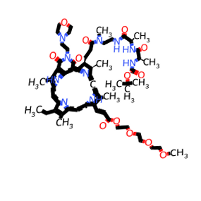 CCC1=C(C)c2cc3[nH]c(cc4nc(c5c6[nH]c(cc1n2)c(C)c6C(=O)N(CCN1CCOCC1)C5=O)[C@@H](CCC(=O)N(C)CCNC(=O)[C@H](C)NC(=O)[C@H](C)NC(=O)OC(C)(C)C)[C@@H]4C)c(C)c3/C=C/C(=O)OCCOCCOCCOC